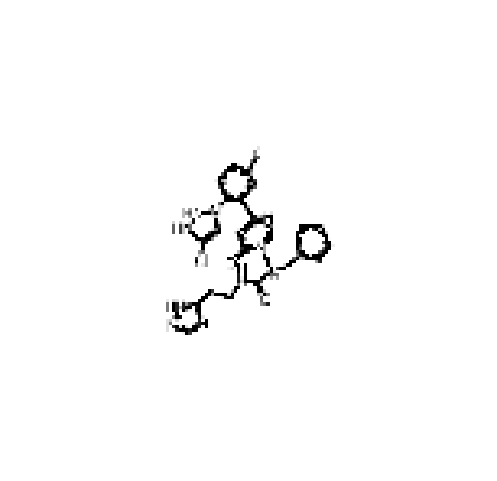 O=C(NCCc1ncn[nH]1)[C@H](Cc1ccccc1)n1cnc(-c2cc(Cl)ccc2N2C=C(Cl)NN2)cc1=O